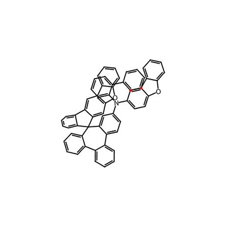 c1ccc(-c2ccccc2N(c2ccc3c(c2)C2(c4ccccc4-c4ccccc4-3)c3ccccc3-c3cc4c(cc32)oc2ccccc24)c2ccc3oc4ccccc4c3c2)cc1